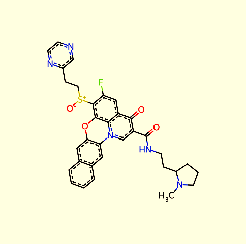 CN1CCCC1CCNC(=O)c1cn2c3c(c([S+]([O-])CCc4cnccn4)c(F)cc3c1=O)Oc1cc3ccccc3cc1-2